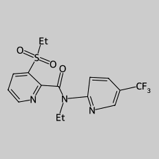 CCN(C(=O)c1ncccc1S(=O)(=O)CC)c1ccc(C(F)(F)F)cn1